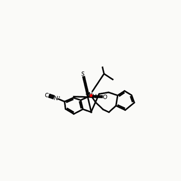 [C-]#[N+]c1ccc2c(c1)C1(NC(=S)N(C(C)C)C1=O)C1(CCc3ccccc3CC1)C2